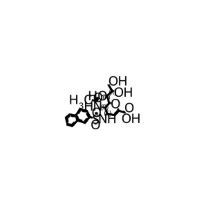 CC(=O)N[C@H]1C([C@H](O)[C@H](O)CO)OC(C(=O)O)=C[C@@H]1NS(=O)(=O)c1ccc2ccccc2c1